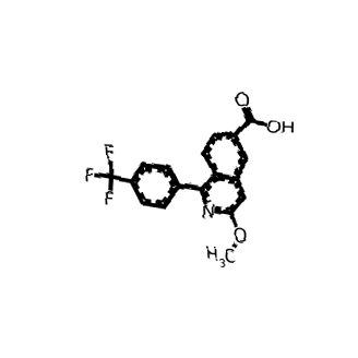 COc1cc2cc(C(=O)O)ccc2c(-c2ccc(C(F)(F)F)cc2)n1